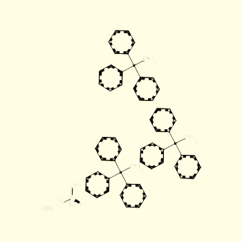 Br.O=[PH](O)O.PC(c1ccccc1)(c1ccccc1)c1ccccc1.PC(c1ccccc1)(c1ccccc1)c1ccccc1.PC(c1ccccc1)(c1ccccc1)c1ccccc1